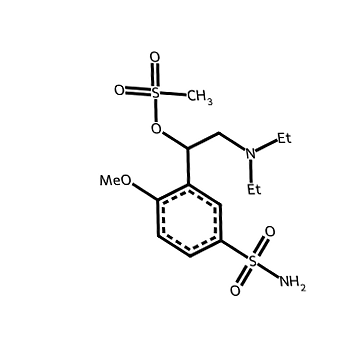 CCN(CC)CC(OS(C)(=O)=O)c1cc(S(N)(=O)=O)ccc1OC